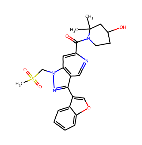 CC1(C)CC(O)CCN1C(=O)c1cc2c(cn1)c(-c1coc3ccccc13)nn2CS(C)(=O)=O